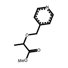 COC(=O)C(C)OCc1ccncc1